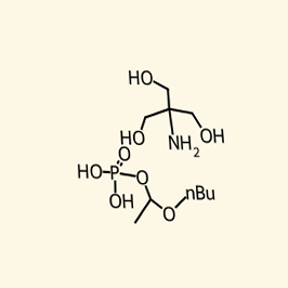 CCCCOC(C)OP(=O)(O)O.NC(CO)(CO)CO